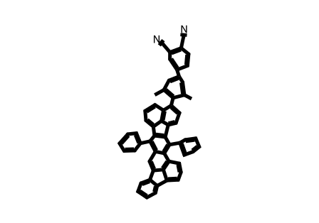 Cc1cc(-c2ccc(C#N)c(C#N)c2)cc(C)c1-c1ccc2c3c(-c4ccccc4)c4c(cc5c6ccccc6c6cccc4c65)c(-c4ccccc4)c3c3cccc1c32